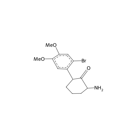 COc1cc(Br)c(C2CCCC(N)C2=O)cc1OC